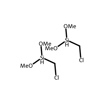 CO[SiH](CCl)OC.CO[SiH](CCl)OC